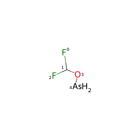 FC(F)O[AsH2]